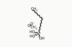 CC(=O)[O-].CCCCCCCC/C=C\CCCCCCCC[N+](CCO)(CCO)CCO